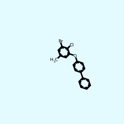 Cc1cc(Br)c(Cl)c(Oc2ccc(-c3ccccc3)cc2)c1